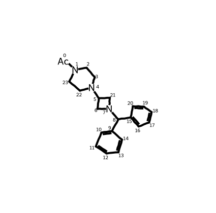 CC(=O)N1CCN(C2CN(C(c3ccccc3)c3ccccc3)C2)CC1